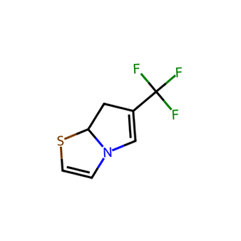 FC(F)(F)C1=CN2C=CSC2C1